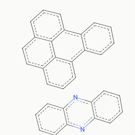 c1ccc2c(c1)c1cccc3ccc4cccc2c4c31.c1ccc2nc3ccccc3nc2c1